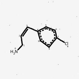 NC/C=C\c1ccc(Cl)cc1